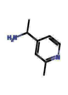 Cc1cc(C(C)N)ccn1